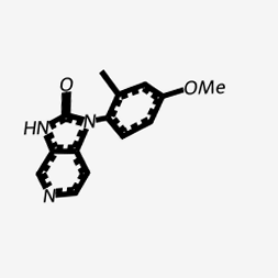 COc1ccc(-n2c(=O)[nH]c3cnccc32)c(C)c1